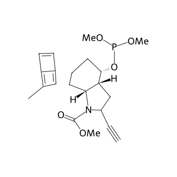 C#CC1C[C@H]2[C@@H](OP(OC)OC)CCC[C@H]2N1C(=O)OC.Cc1cc2ccc1-2